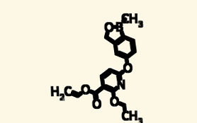 C=COC(=O)c1ccc(Oc2ccc3c(c2)COB3C)nc1OCC